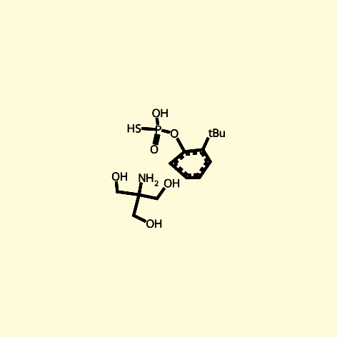 CC(C)(C)c1ccccc1OP(=O)(O)S.NC(CO)(CO)CO